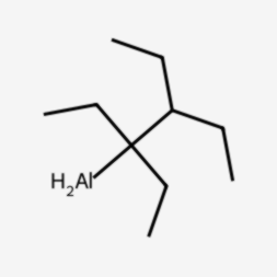 CCC(CC)[C]([AlH2])(CC)CC